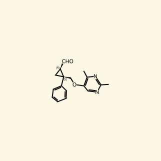 Cc1ncc(OC[C@@]2(c3ccccc3)C[C@H]2C=O)c(C)n1